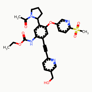 CCOC(=O)Nc1cc(C2CCCN2C(C)=O)c(Oc2ccc(S(C)(=O)=O)nc2)cc1C#Cc1ccc(CO)cn1